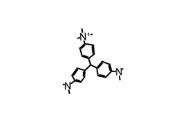 CN(C)c1ccc(C(c2ccc(N(C)C)cc2)c2ccc([N+](C)(C)C)cc2)cc1